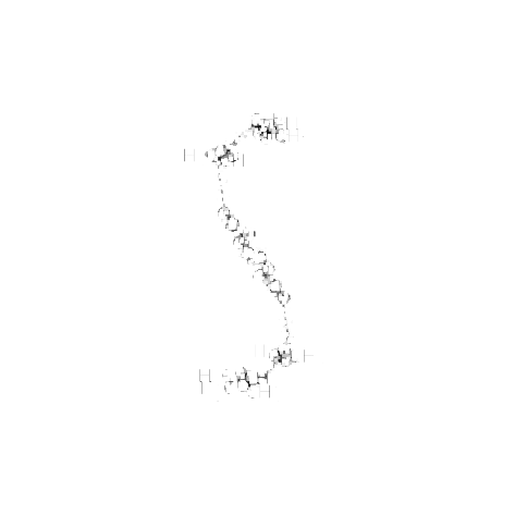 C=C(C)C(=O)OC(C)(C)CCCCCC(=O)OC(C)(C)CCCCCCCCOc1ccc(C(=O)Oc2ccc3cc(OC(=O)c4ccc(OCCCCCCCCC(C)(C)OC(=O)CCCCCC(C)(C)OC(=O)C(=C)C)cc4)ccc3c2)cc1